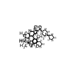 Cc1nc2c(cc(C(=O)N3CCN(C4CCCC4)CC3)n2C)c(-c2cc(F)c3c(c2C)CCCO3)c1[C@H](OC(C)(C)C)C(=O)O